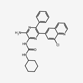 Nc1nc(-c2ccccc2)c(-c2cc(Cl)c3ncccc3c2)nc1NC(=O)NC1CCCCC1